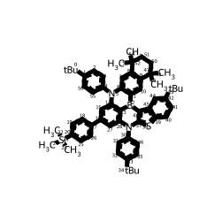 CC(C)(C)c1ccc(N2c3cc4c(cc3B3c5c2cc(-c2ccc([Si](C)(C)C)cc2)cc5N(c2ccc(C(C)(C)C)cc2)c2sc5ccc(C(C)(C)C)cc5c23)C(C)(C)CCC4(C)C)cc1